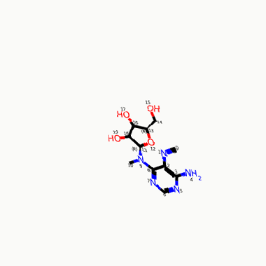 C=Nc1c(N)ncnc1N(C)[C@@H]1O[C@H](CO)C(O)C1O